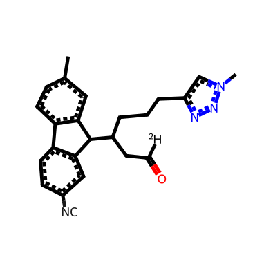 [2H]C(=O)CC(CCCc1cn(C)nn1)C1c2cc(C)ccc2-c2ccc([N+]#[C-])cc21